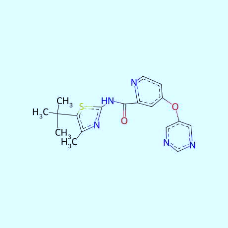 Cc1nc(NC(=O)c2cc(Oc3cncnc3)ccn2)sc1C(C)(C)C